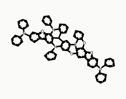 c1ccc(N(c2ccccc2)c2ccc3c(c2)oc2c4c5c(cc23)Oc2cc3c(cc2B5c2ccccc2O4)C2c4ccccc4N(c4ccccc4)c4c2c(cc2c4oc4cc(N(c5ccccc5)c5ccccc5)ccc42)N3c2ccccc2)cc1